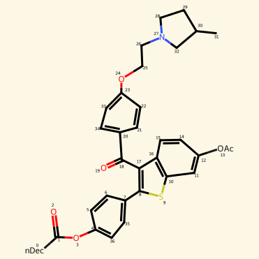 CCCCCCCCCCC(=O)Oc1ccc(-c2sc3cc(OC(C)=O)ccc3c2C(=O)c2ccc(OCCN3CCC(C)C3)cc2)cc1